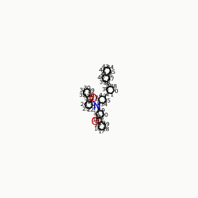 c1cc(-c2ccc(N(c3ccc4c(c3)oc3ccccc34)c3cccc4c3oc3ccccc34)cc2)cc(-c2ccc3ccccc3c2)c1